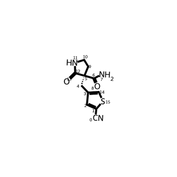 N#Cc1cc(C[C@@]2(C(N)=O)CCNC2=O)cs1